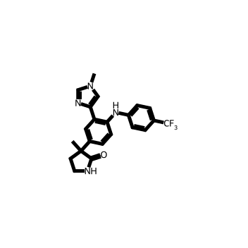 Cn1cnc(-c2cc(C3(C)CCNC3=O)ccc2Nc2ccc(C(F)(F)F)cc2)c1